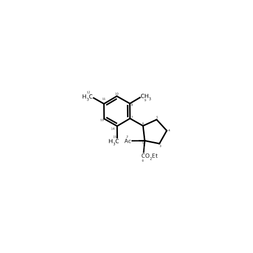 CCOC(=O)C1(C(C)=O)CCCC1c1c(C)cc(C)cc1C